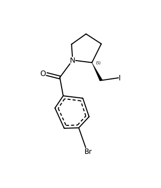 O=C(c1ccc(Br)cc1)N1CCC[C@H]1CI